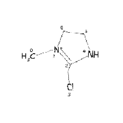 C[N+]1=C(Cl)NCC1